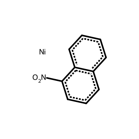 O=[N+]([O-])c1cccc2ccccc12.[Ni]